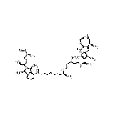 C=CC(CCC(=C)NC)n1c(=C)c2cccc(NCCCCCCCC(=C)NCCN(CC)CCNC(=C)c3c(C)[nH]c(/C=C4/C(=C)/C=C(F)\C=C/NC4=C)c3C)c2c1=C